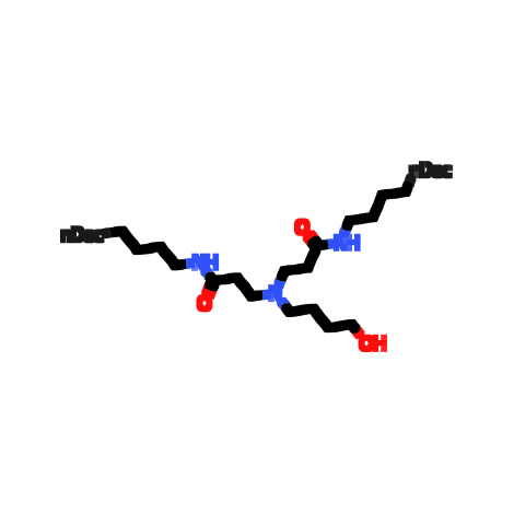 CCCCCCCCCCCCCCNC(=O)CCN(CCCCO)CCC(=O)NCCCCCCCCCCCCCC